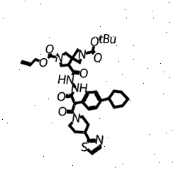 C=CCOC(=O)N1CC(C(=O)NNC(=O)C(C(=O)N2CCC(c3nccs3)CC2)c2ccc(C3CCCCC3)cc2)C2(C1)CN(C(=O)OC(C)(C)C)C2